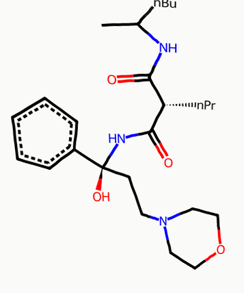 CCCCC(C)NC(=O)[C@H](CCC)C(=O)N[C@](O)(CCN1CCOCC1)c1ccccc1